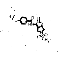 COc1ccc(C(=O)Nc2[nH]nc3c2CN(S(C)(=O)=O)C3)cc1